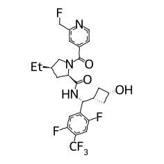 CC[C@@H]1C[C@H](C(=O)N[C@@H](c2cc(F)c(C(F)(F)F)cc2F)[C@H]2C[C@@H](O)C2)N(C(=O)c2ccnc(CF)c2)C1